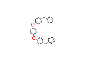 c1ccc(Cc2ccc(Oc3ccc(Oc4ccc(Cc5ccccc5)cc4)cc3)cc2)cc1